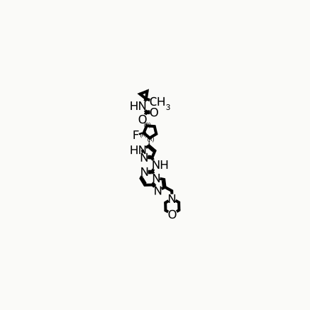 CC1(NC(=O)O[C@@H]2CC[C@H](c3cc(Nc4nccc5nc(CN6CCOCC6)cn45)n[nH]3)[C@H]2F)CC1